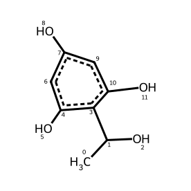 CC(O)c1c(O)cc(O)cc1O